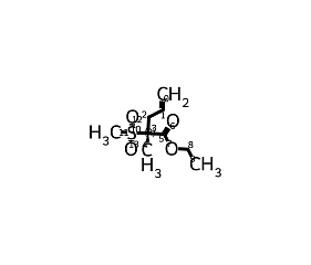 C=CC[C@](C)(C(=O)OCC)S(C)(=O)=O